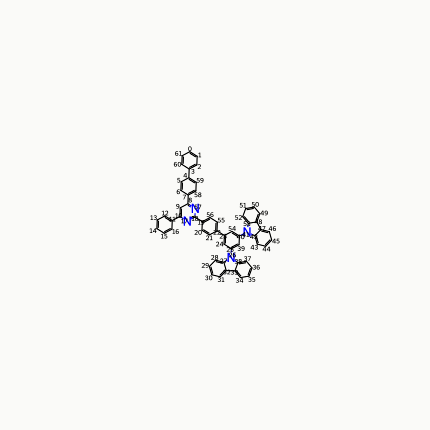 c1ccc(-c2ccc(-c3cc(-c4ccccc4)nc(-c4ccc(-c5cc(-n6c7ccccc7c7ccccc76)cc(-n6c7ccccc7c7ccccc76)c5)cc4)n3)cc2)cc1